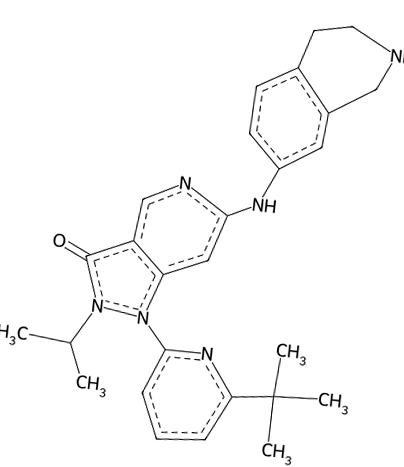 CC(C)n1c(=O)c2cnc(Nc3ccc4c(c3)CNCC4)cc2n1-c1cccc(C(C)(C)C)n1